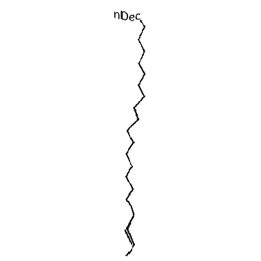 CC=CCCCCCCCCCCCCCCCCCCCCCCCCCCC